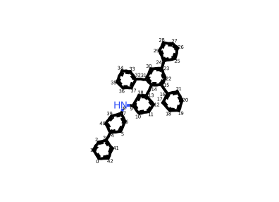 c1ccc(-c2ccc(Nc3cccc(-c4c(-c5ccccc5)cc(-c5ccccc5)cc4-c4ccccc4)c3)cc2)cc1